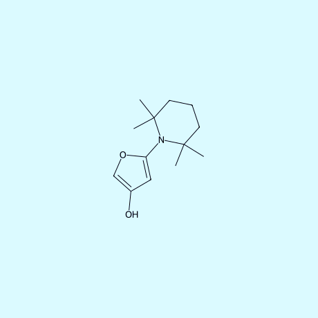 CC1(C)CCCC(C)(C)N1c1cc(O)co1